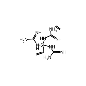 C=C.C=C[Si](NC(=N)N)(NC(=N)N)NC(=N)N